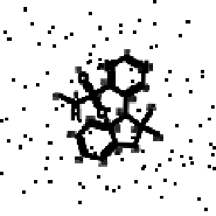 CNS(=O)(=O)c1ncncc1C1c2ccccc2CC1(C)C